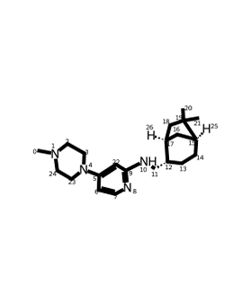 CN1CCN(c2ccnc(NC[C@H]3CC[C@H]4C[C@@H]3CC4(C)C)c2)CC1